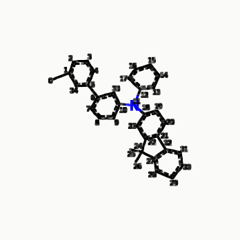 Cc1cccc(-c2cccc(N(c3ccccc3)c3ccc4c(c3)C(C)(C)c3ccccc3-4)c2)c1